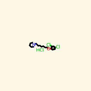 Cl.Clc1ccc(OCCCCCCCN2CCCCC2)c(Cl)c1